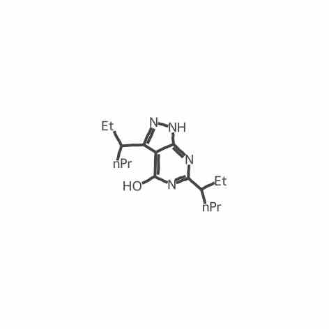 CCCC(CC)c1nc(O)c2c(C(CC)CCC)n[nH]c2n1